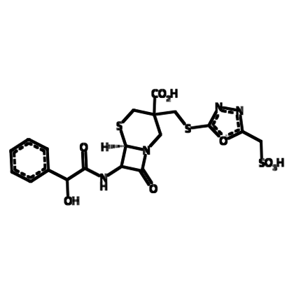 O=C(NC1C(=O)N2CC(CSc3nnc(CS(=O)(=O)O)o3)(C(=O)O)CS[C@H]12)C(O)c1ccccc1